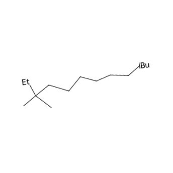 [CH2]C(CC)CCCCCCC(C)(C)CC